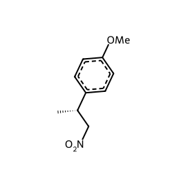 COc1ccc([C@@H](C)C[N+](=O)[O-])cc1